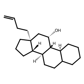 C=CCC[C@@]12CCC[C@H]1[C@@H]1CCC3CCCC[C@@H]3[C@H]1[C@@H](O)C2